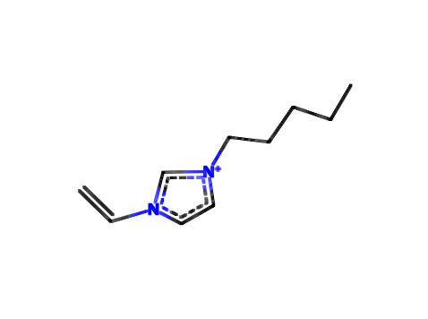 C=Cn1cc[n+](CCCCC)c1